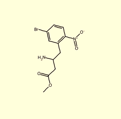 COC(=O)CC(N)Cc1cc(Br)ccc1[N+](=O)[O-]